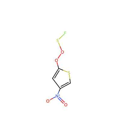 O=[N+]([O-])c1csc(OOSF)c1